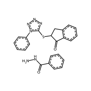 NNC(=O)c1ccccc1.O=C1c2ccccc2CC1Sc1nnnn1-c1ccccc1